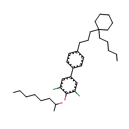 CCCCCCC(C)Oc1c(F)cc(-c2ccc(CCCC3(CCCCC)CCCCC3)cc2)cc1F